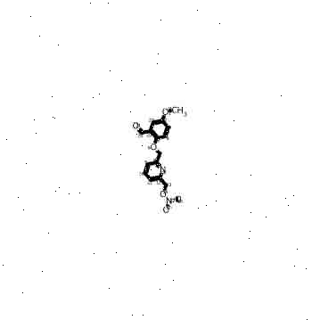 COc1ccc(OCc2cccc(CO[N+](=O)[O-])n2)c(C=O)c1